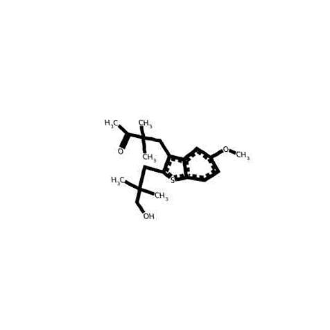 COc1ccc2sc(CC(C)(C)CO)c(CC(C)(C)C(C)=O)c2c1